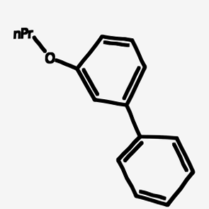 CCCOc1cccc(-c2ccccc2)c1